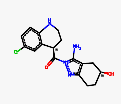 Nc1c2c(nn1C(=O)[C@@H]1CCNc3ccc(Cl)cc31)CC[C@H](O)C2